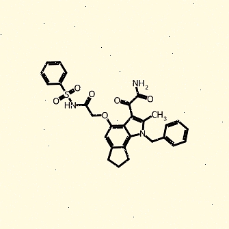 Cc1c(C(=O)C(N)=O)c2c(OCC(=O)NS(=O)(=O)c3ccccc3)cc3c(c2n1Cc1ccccc1)CCC3